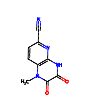 Cn1c(=O)c(=O)[nH]c2nc(C#N)ccc21